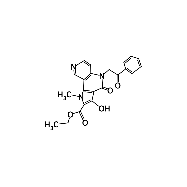 CCOC(=O)c1c(O)c2c(=O)n(CC(=O)c3ccccc3)c3ccncc3c2n1C